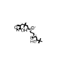 CC(C)(CC[S+]([O-])CC[S+]([O-])CC(O)C(C)(C)C)Cc1conc1O